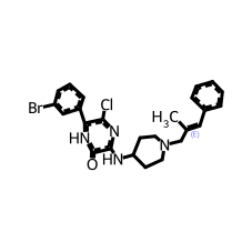 C/C(=C\c1ccccc1)CN1CCC(Nc2nc(Cl)c(-c3cccc(Br)c3)[nH]c2=O)CC1